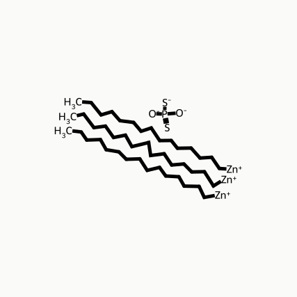 CCCCCCCCCCCCCC[CH2][Zn+].CCCCCCCCCCCCCC[CH2][Zn+].CCCCCCCCCCCCCC[CH2][Zn+].[O-]P([O-])(=S)[S-]